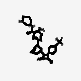 Nc1ncc(-c2cccc(C3NC(=O)N3c3ccc(C(F)(F)F)cc3)c2)nc1C(=O)N[C@H]1CCCNC1